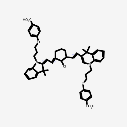 CC1(C)C(/C=C/C2CCC/C(=C\C=C3\N(CCCOc4ccc(C(=O)O)cc4)c4ccccc4C3(C)C)C2Cl)=CN(CCCOc2ccc(C(=O)O)cc2)c2ccccc21